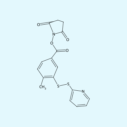 Cc1ccc(C(=O)ON2C(=O)CCC2=O)cc1SSc1ccccn1